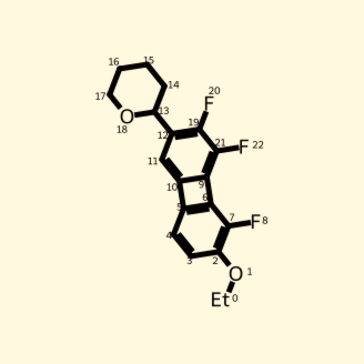 CCOc1ccc2c(c1F)-c1c-2cc(C2CCCCO2)c(F)c1F